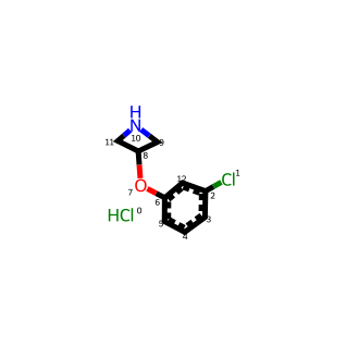 Cl.Clc1cccc(OC2CNC2)c1